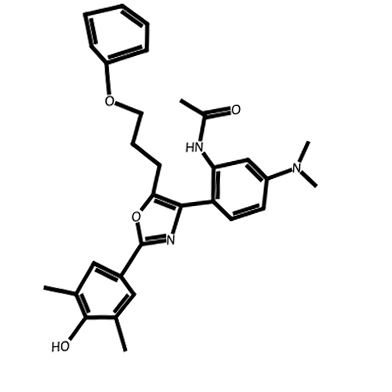 CC(=O)Nc1cc(N(C)C)ccc1-c1nc(-c2cc(C)c(O)c(C)c2)oc1CCCOc1ccccc1